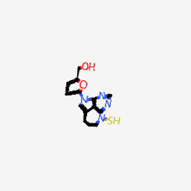 OC[C@@H]1CC[C@H](N2C=C3CCCN(S)C4=NC=NC2C34)O1